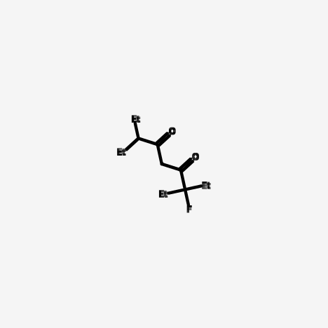 CCC(CC)C(=O)CC(=O)C(F)(CC)CC